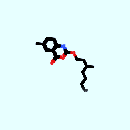 Cc1ccc2nc(OCCC(C)CCCC(C)C)oc(=O)c2c1